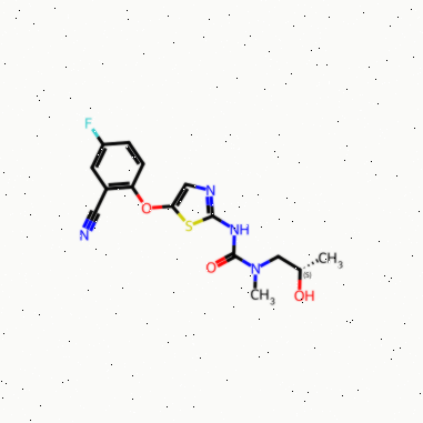 C[C@H](O)CN(C)C(=O)Nc1ncc(Oc2ccc(F)cc2C#N)s1